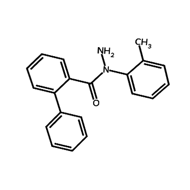 Cc1ccccc1N(N)C(=O)c1ccccc1-c1ccccc1